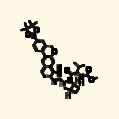 COC(=O)N[C@H](C(=O)N1[C@H](c2nc3ccc4cc5c(cc4c3[nH]2)OCc2cc(B3OC(C)(C)C(C)(C)O3)ccc2-5)C[C@@H]2CC[C@@H]21)C(C)C